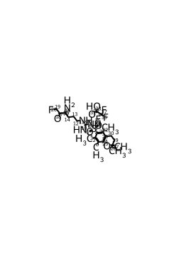 Cc1c(C)c(S(=O)(=O)NC(=N)NCCC[C@H](N)C(=O)CF)c(C)c2c1OC(C)(C)CC2.O=C(O)C(F)(F)F